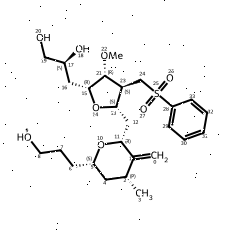 C=C1[C@H](C)C[C@H](CCCO)O[C@@H]1C[C@@H]1O[C@H](C[C@H](O)CO)[C@H](OC)[C@H]1CS(=O)(=O)c1ccccc1